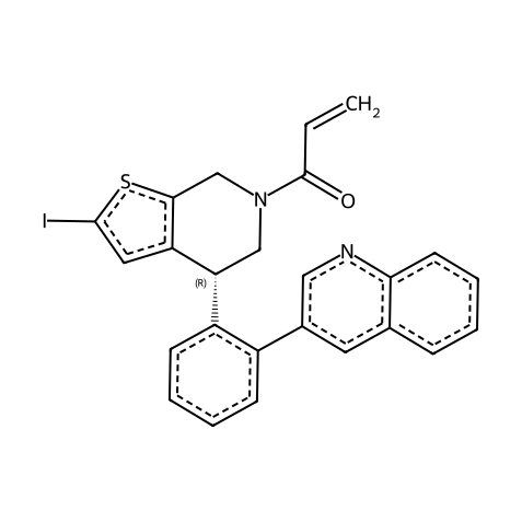 C=CC(=O)N1Cc2sc(I)cc2[C@@H](c2ccccc2-c2cnc3ccccc3c2)C1